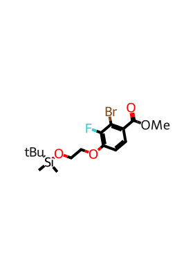 COC(=O)c1ccc(OCCO[Si](C)(C)C(C)(C)C)c(F)c1Br